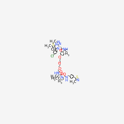 Cc1ncsc1-c1ccc(CNC(=O)[C@@H]2CCCN2C(=O)C(NC(=O)COCCOCCCOc2ccc([C@@H](C)NC(=O)C[C@@H]3N=C(c4ccc(Cl)cc4)c4c(sc(C)c4C)-n4c(C)nnc43)cc2)C(C)(C)C)cc1